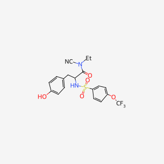 CCN(C#N)C(=O)C(Cc1ccc(O)cc1)NS(=O)(=O)c1ccc(OC(F)(F)F)cc1